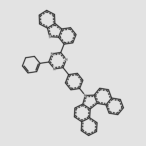 C1=CCCC(c2nc(-c3ccc(-n4c5ccc6ccccc6c5c5c6ccccc6ccc54)cc3)nc(-c3cccc4c3sc3ccccc34)n2)=C1